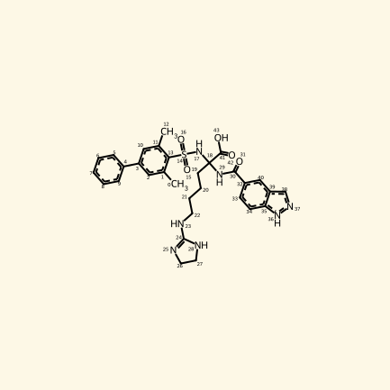 Cc1cc(-c2ccccc2)cc(C)c1S(=O)(=O)NC(CCCCNC1=NCCN1)(NC(=O)c1ccc2[nH]ncc2c1)C(=O)O